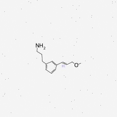 COC/C=C/c1cccc(CCCN)c1